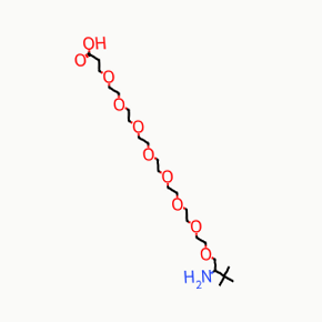 CC(C)(C)C(N)COCCOCCOCCOCCOCCOCCOCCOCCC(=O)O